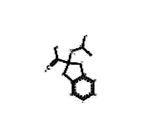 CC(=O)C1(NC(C)C)Cc2ccccc2C1